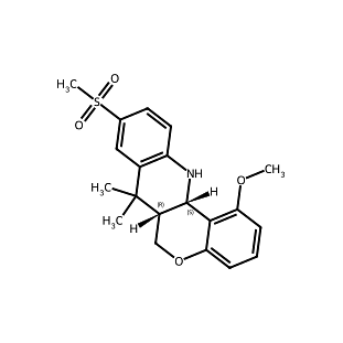 COc1cccc2c1[C@H]1Nc3ccc(S(C)(=O)=O)cc3C(C)(C)[C@H]1CO2